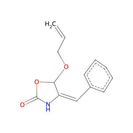 C=CCOC1OC(=O)NC1=Cc1ccccc1